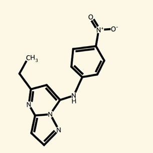 CCc1cc(Nc2ccc([N+](=O)[O-])cc2)n2nccc2n1